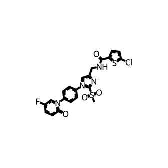 CS(=O)(=O)c1nc(CNC(=O)c2ccc(Cl)s2)cn1-c1ccc(-n2cc(F)ccc2=O)cc1